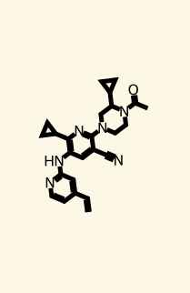 C=Cc1ccnc(Nc2cc(C#N)c(N3CCN(C(C)=O)C(C4CC4)C3)nc2C2CC2)c1